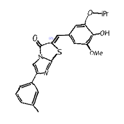 COc1cc(/C=c2\sc3nc(-c4cccc(C)c4)cn3c2=O)cc(OC(C)C)c1O